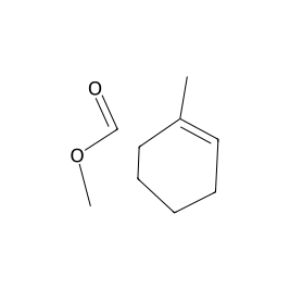 CC1=CCCCC1.COC=O